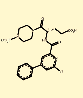 CCOC(=O)N1CCN(C(=O)[C@H](CCC(=O)O)NC(=O)c2cc(-c3ccccc3)cc(Cl)n2)CC1